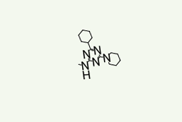 CNc1nc(C2CCCCC2)nc(N2CCCCC2)n1